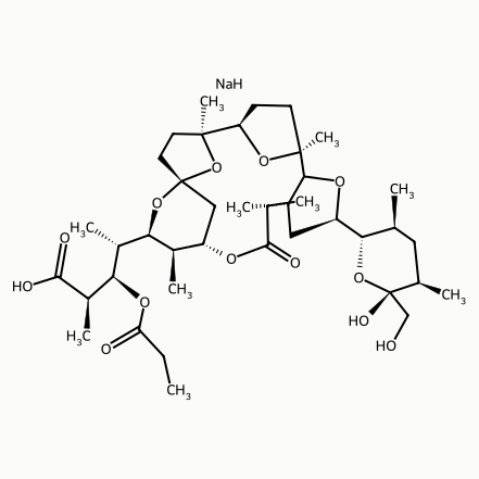 CCC(=O)O[C@H]([C@H](C)[C@H]1O[C@@]2(CC[C@@](C)([C@H]3CC[C@@](C)(C4O[C@@H]([C@H]5O[C@@](O)(CO)[C@H](C)C[C@@H]5C)C[C@@H]4C)O3)O2)C[C@H](OC(=O)CC)[C@H]1C)[C@@H](C)C(=O)O.[NaH]